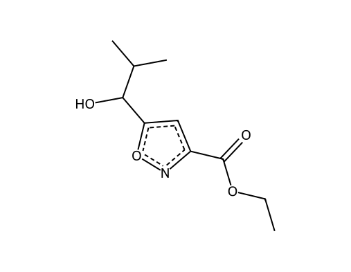 CCOC(=O)c1cc(C(O)C(C)C)on1